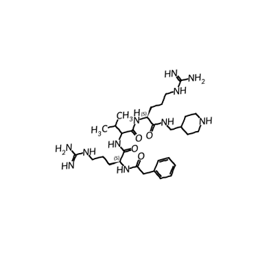 CC(C)C(NC(=O)[C@H](CCCNC(=N)N)NC(=O)Cc1ccccc1)C(=O)N[C@@H](CCCNC(=N)N)C(=O)NCC1CCNCC1